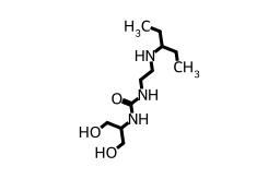 CCC(CC)NCCNC(=O)NC(CO)CO